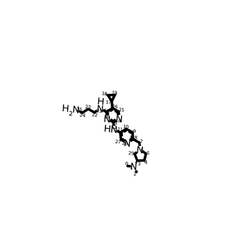 CN(C)[C@@H]1CCN(Cc2ccc(Nc3ncc(C4CC4)c(NCCCN)n3)cn2)C1